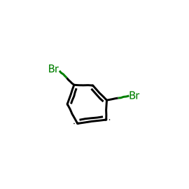 Brc1[c][c]cc(Br)c1